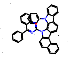 c1ccc(-c2nc(-n3c4ccc5ccccc5c4c4ccc5c6ccccc6n(-c6ccccc6)c5c43)nc3ccccc23)cc1